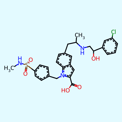 CNS(=O)(=O)c1ccc(Cn2c(C(=O)O)cc3cc(CC(C)NCC(O)c4cccc(Cl)c4)ccc32)cc1